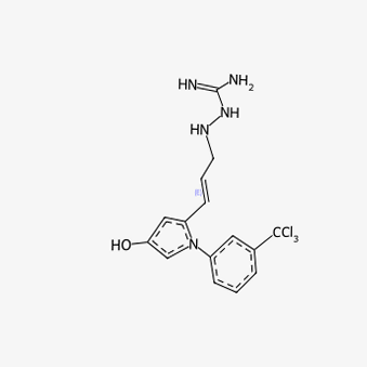 N=C(N)NNC/C=C/c1cc(O)cn1-c1cccc(C(Cl)(Cl)Cl)c1